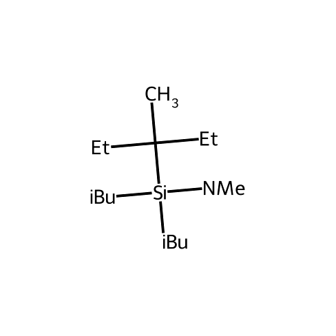 CCC(C)[Si](NC)(C(C)CC)C(C)(CC)CC